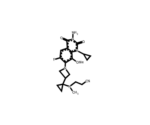 COc1c(N2CC(C3(N(C)CCC#N)CC3)C2)c(F)cc2c(=O)n(N)c(=O)n(C3CC3)c12